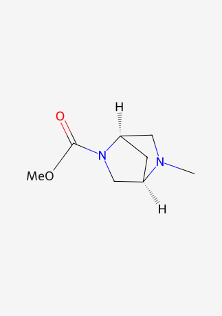 COC(=O)N1C[C@H]2C[C@@H]1CN2C